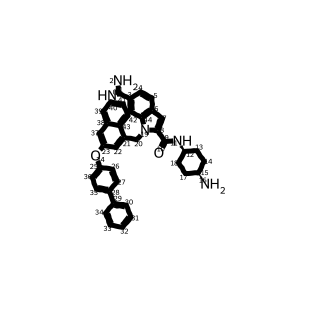 N=C(N)c1ccc2cc(C(=O)N[C@H]3CC[C@H](N)CC3)n(Cc3cc(Oc4ccc(-c5ccccc5)cc4)cc4ccccc34)c2c1